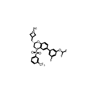 CC(=O)N1CC(C[C@H]2CN(S(=O)(=O)c3cccc(C(F)(F)F)c3)c3cc(-c4cc(F)cc(OC(F)F)c4)ccc3O2)C1